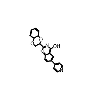 Oc1nc(C2COC3C=CC=CC3O2)nc2ccc(-c3ccncc3)cc12